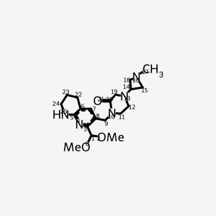 COC(OC)c1nc2c(cc1CN1CCN(C3CN(C)C3)CC1=O)CCCN2